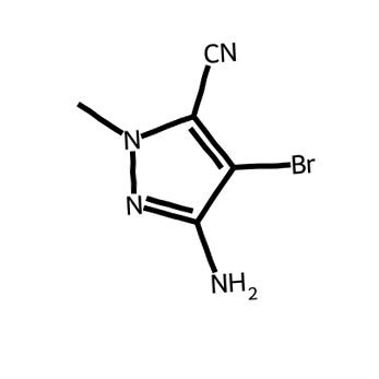 Cn1nc(N)c(Br)c1C#N